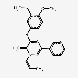 C=C1C(Nc2ccc(OC)c(CC)c2)=NC(c2cccnc2)=CN1/C=C\C